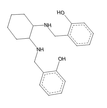 Oc1ccccc1CNC1CCCCC1NCc1ccccc1O